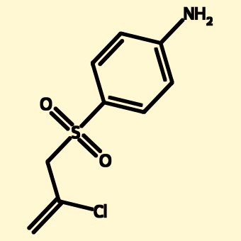 C=C(Cl)CS(=O)(=O)c1ccc(N)cc1